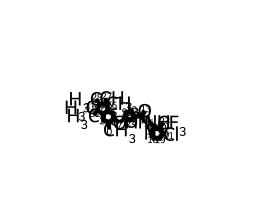 Cc1cc2c(cc1Oc1ccc(C(=O)NNc3nccc(Cl)c3C(F)(F)F)o1)C(C)(C)C(C)C2(C)C